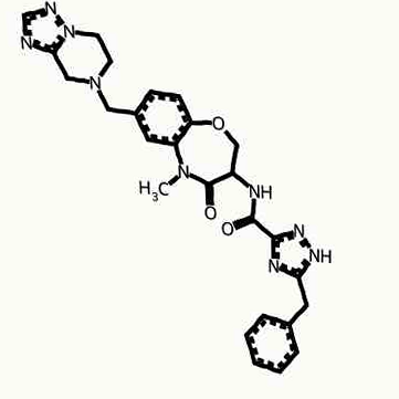 CN1C(=O)C(NC(=O)c2n[nH]c(Cc3ccccc3)n2)COc2ccc(CN3CCn4ncnc4C3)cc21